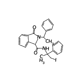 CC(c1ccccc1)N1C(=O)c2ccccc2C1C(=O)NC(C)(CI)c1ccccc1